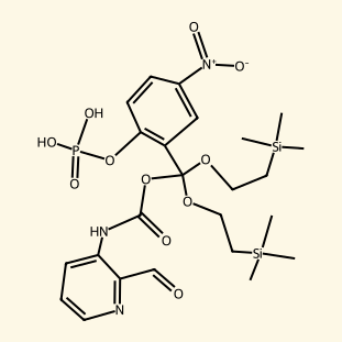 C[Si](C)(C)CCOC(OCC[Si](C)(C)C)(OC(=O)Nc1cccnc1C=O)c1cc([N+](=O)[O-])ccc1OP(=O)(O)O